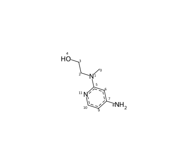 CN(CCO)c1cc(N)ccn1